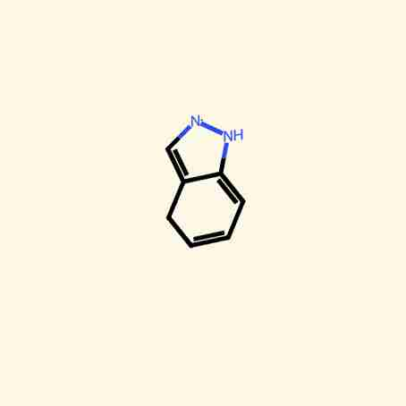 C1=CCC2=C[N]NC2=C1